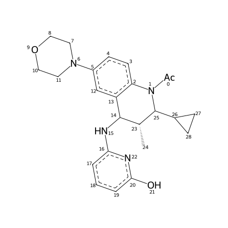 CC(=O)N1c2ccc(N3CCOCC3)cc2C(Nc2cccc(O)n2)[C@@H](C)C1C1CC1